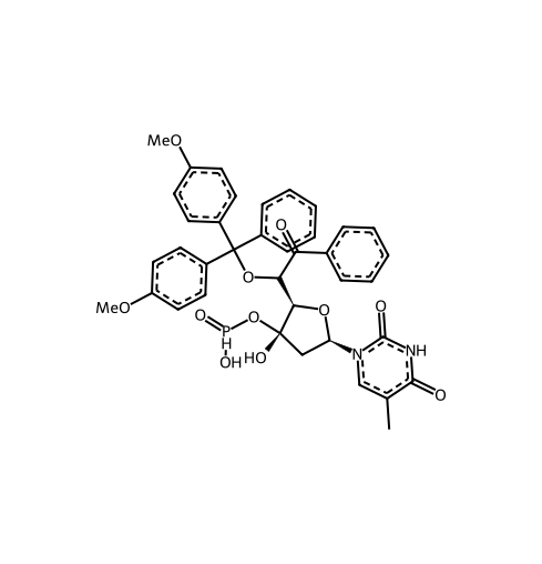 COc1ccc(C(OC(C(=O)c2ccccc2)[C@H]2O[C@@H](n3cc(C)c(=O)[nH]c3=O)C[C@]2(O)O[PH](=O)O)(c2ccccc2)c2ccc(OC)cc2)cc1